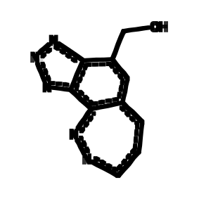 OCc1cc2cccnnc2c2nnnc12